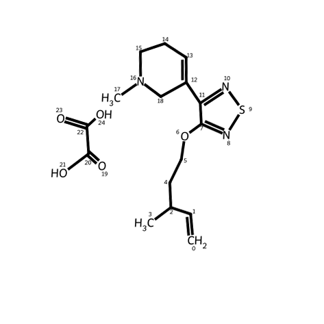 C=CC(C)CCOc1nsnc1C1=CCCN(C)C1.O=C(O)C(=O)O